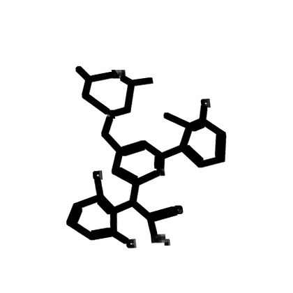 Cc1c(Cl)cccc1-c1cc(CN2CC(C)NC(C)C2)cc(C(C(N)=O)c2c(Cl)cccc2Cl)n1